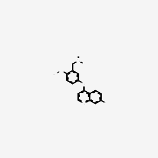 CCN(CC)Cc1cc(Nc2ccnc3cc(Cl)ccc23)ccc1OC(C)(C)C